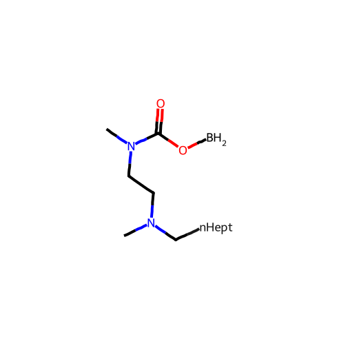 BOC(=O)N(C)CCN(C)CCCCCCCC